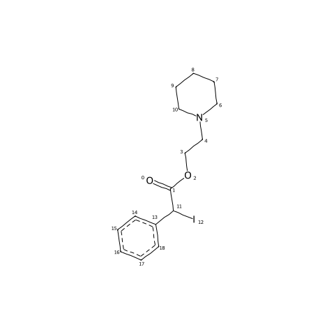 O=C(OCCN1CCCCC1)C(I)c1ccccc1